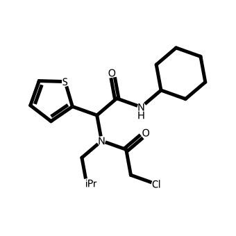 CC(C)CN(C(=O)CCl)C(C(=O)NC1CCCCC1)c1cccs1